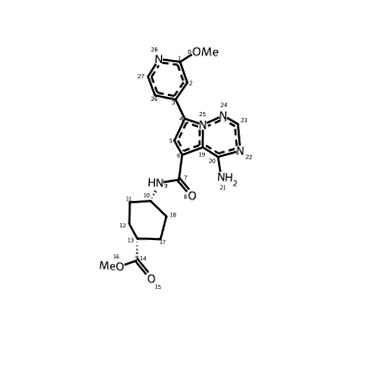 COc1cc(-c2cc(C(=O)N[C@H]3CC[C@@H](C(=O)OC)CC3)c3c(N)ncnn23)ccn1